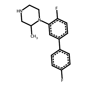 CC1CNCCN1c1cc(-c2ccc(F)cc2)ccc1F